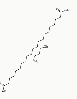 CCCCO.O=C(O)CCCCCCCCCCCCCCCCCCCC(=O)O